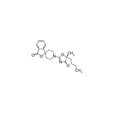 CCCC[C@@]1(C)OC(N2CCC3(CC2)OC(=O)c2ccccc23)=NC1=O